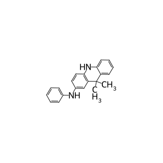 CC1(C)c2ccccc2Nc2ccc(Nc3ccccc3)cc21